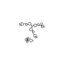 CC(C)(C)OC(=O)COc1ccc([S+](c2cccc(OCc3ccncc3)c2)c2cccc(OCc3ccncc3)c2)cc1.Cc1ccc(S(=O)(=O)[O-])c(C)c1